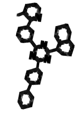 Cc1cccnc1-c1cccc(-c2nc(-c3ccc(-c4ccccc4)cc3)nc(-c3cccc4ccccc34)n2)c1